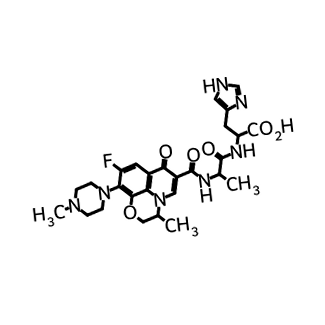 CC(NC(=O)c1cn2c3c(c(N4CCN(C)CC4)c(F)cc3c1=O)OCC2C)C(=O)NC(Cc1c[nH]cn1)C(=O)O